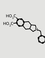 O=C(O)c1cc2c(cc1C(=O)O)CC1CN(Cc3ccccc3)CC1C2